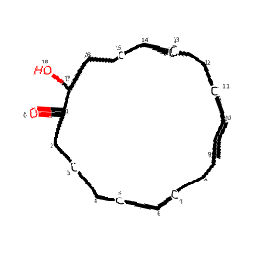 O=C1CCCCCCCC=CCCCCCCC1O